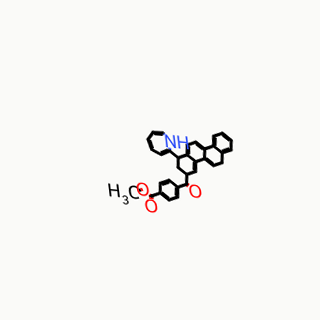 COC(=O)c1ccc(C(=O)C2C=c3c(ccc4c3=CCc3ccccc3-4)C(C3=CC=CC=CN3)C2)cc1